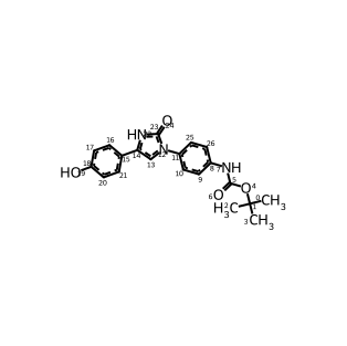 CC(C)(C)OC(=O)Nc1ccc(-n2cc(-c3ccc(O)cc3)[nH]c2=O)cc1